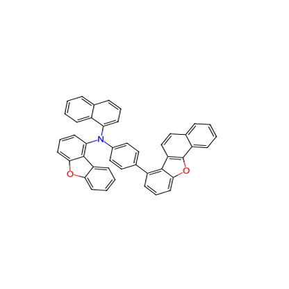 c1ccc2c(N(c3ccc(-c4cccc5oc6c7ccccc7ccc6c45)cc3)c3cccc4oc5ccccc5c34)cccc2c1